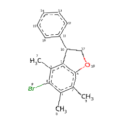 Cc1c(C)c2c(c(C)c1Br)C(c1ccccc1)CO2